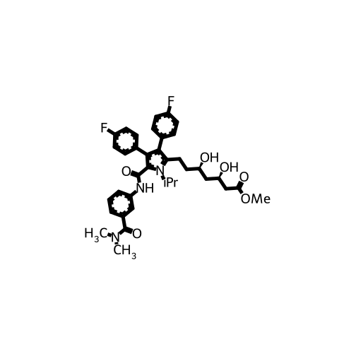 COC(=O)C[C@H](O)C[C@H](O)CCc1c(-c2ccc(F)cc2)c(-c2ccc(F)cc2)c(C(=O)Nc2cccc(C(=O)N(C)C)c2)n1C(C)C